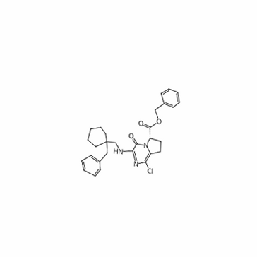 O=C(OCc1ccccc1)[C@@H]1CCc2c(Cl)nc(NCC3(Cc4ccccc4)CCCCC3)c(=O)n21